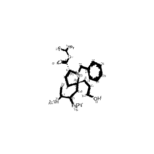 CCCC(F)OC(=O)[C@H]1CC[C@@](CCCO)(CC(CCC)C(C)NC(C)=O)N1Cc1ccccc1